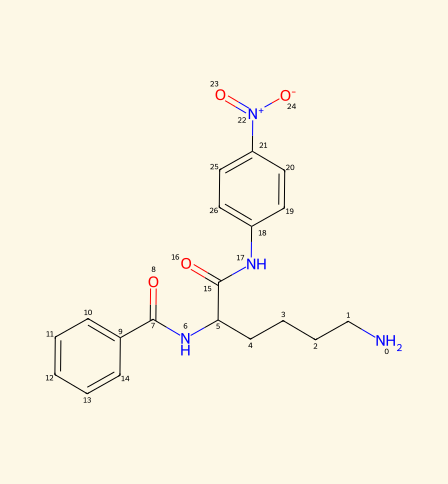 NCCCCC(NC(=O)c1ccccc1)C(=O)Nc1ccc([N+](=O)[O-])cc1